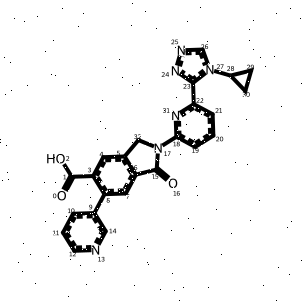 O=C(O)c1cc2c(cc1-c1cccnc1)C(=O)N(c1cccc(-c3nncn3C3CC3)n1)C2